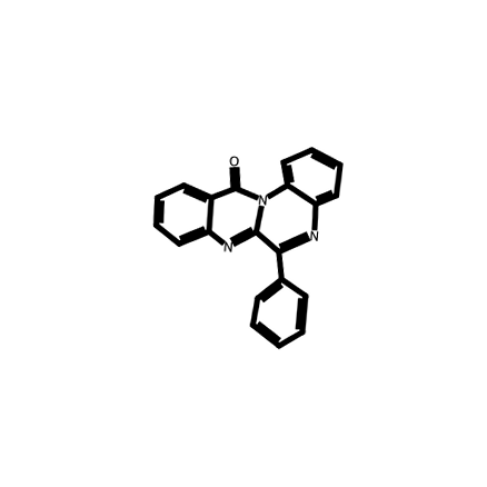 O=c1c2ccccc2nc2c(-c3ccccc3)nc3ccccc3n12